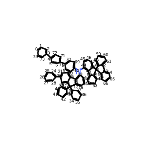 c1ccc(-c2ccc(-c3ccc(N(c4cccc5c4-c4ccc(-c6ccccc6)cc4C5(c4ccccc4)c4ccccc4)c4cccc5c4-c4ccccc4C54c5ccccc5-c5ccccc54)cc3)cc2)cc1